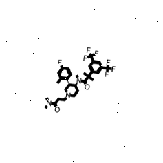 Cc1cc(F)ccc1[C@H]1CN(CCC(=O)N(C)C)CC[C@@H]1N(C)C(=O)C(C)(C)c1cc(C(F)(F)F)cc(C(F)(F)F)c1